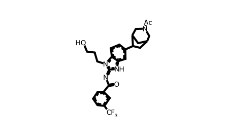 CC(=O)N1CC2CC(C1)C(c1ccc3c(c1)[nH]/c(=N\C(=O)c1cccc(C(F)(F)F)c1)n3CCCO)C2